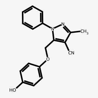 Cc1nn(-c2ccccc2)c(COc2ccc(O)cc2)c1C#N